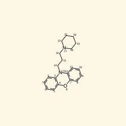 c1ccc2c(c1)Oc1ccccc1N2CCCN1CCCCC1